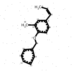 C/C=C\c1ccc(OCc2ccccc2)c(C)c1